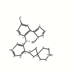 CC(C)n1ncnc1-c1cc(F)ccc1Oc1cncnc1N1CC2(CCNCC2)C1